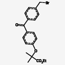 CCOC(=O)C(C)(C)Oc1ccc(C(=O)c2ccc(CBr)cc2)cc1